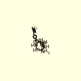 [N-]=[N+]=NCc1ccc(C(=O)NC23CNCCNCC(N)(CNCCNC2)CNCCNC3)cc1